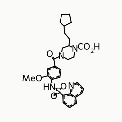 COc1cc(C(=O)N2CCN(C(=O)O)C(CCC3CCCC3)C2)ccc1NS(=O)(=O)c1cccc2cccnc12